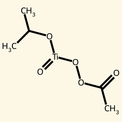 CC(=O)O[O][Ti](=[O])[O]C(C)C